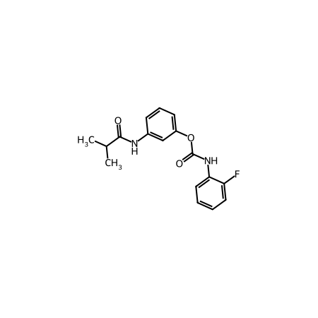 CC(C)C(=O)Nc1cccc(OC(=O)Nc2ccccc2F)c1